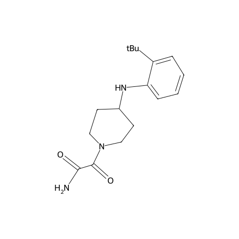 CC(C)(C)c1ccccc1NC1CCN(C(=O)C(N)=O)CC1